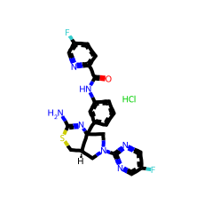 Cl.NC1=NC2(c3cccc(NC(=O)c4ccc(F)cn4)c3)CN(c3ncc(F)cn3)C[C@H]2CS1